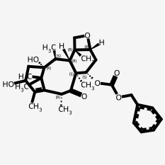 CC1=C2[C@@H](C)C(=O)[C@]3(C)[C@@H](OC(=O)OCc4ccccc4)C[C@H]4OC[C@@]4(C)[C@H]3[C@H](C)[C@](O)(CC1O)C2(C)C